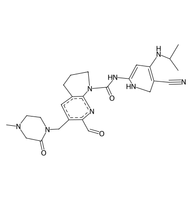 CC(C)NC1=C(C#N)CNC(NC(=O)N2CCCc3cc(CN4CCN(C)CC4=O)c(C=O)nc32)=C1